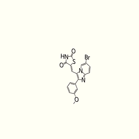 COc1cccc(-c2nc3ccc(Br)cn3c2/C=C2\SC(=O)NC2=O)c1